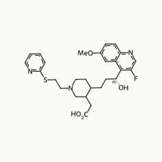 COc1ccc2ncc(F)c([C@H](O)CCC3CCN(CCSc4ccccn4)CC3CC(=O)O)c2c1